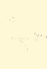 CONC(=O)C[C@@H](C)CC(=O)c1c(CCCCCCc2cccc(Cl)c2)n(C)c2ccc(Cl)cc12